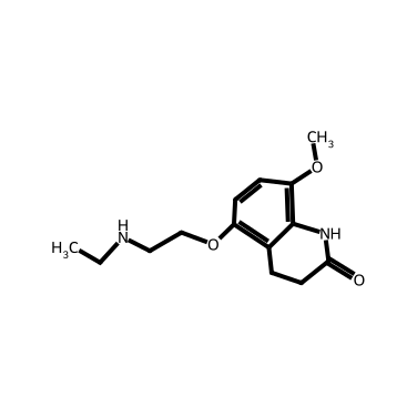 CCNCCOc1ccc(OC)c2c1CCC(=O)N2